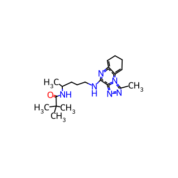 Cc1nnc2c(NCCCC(C)NC(=O)C(C)(C)C)nc3c(n12)=CCCC=3